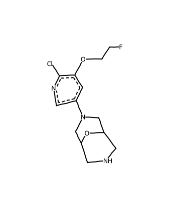 FCCOc1cc(N2CC3CNCC(C2)O3)cnc1Cl